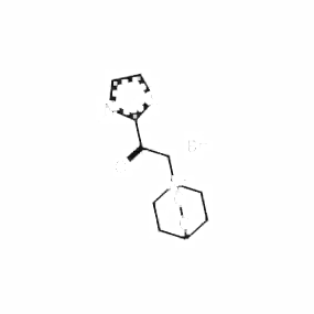 O=C(C[N+]12CCC(CC1)CC2)c1nccs1.[Br-]